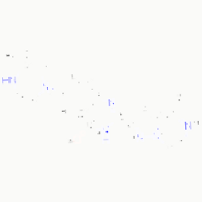 Cc1cn2nc(-c3nc4ccc(N5CCNC6(CC6)C5)cc4c(=O)[nH]3)cc2c(C)n1